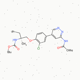 COC(=O)Nc1cc(-c2ccc(OC[C@](C)(CC(C)C)NC(=O)OC(C)(C)C)c(Cl)c2)cnn1